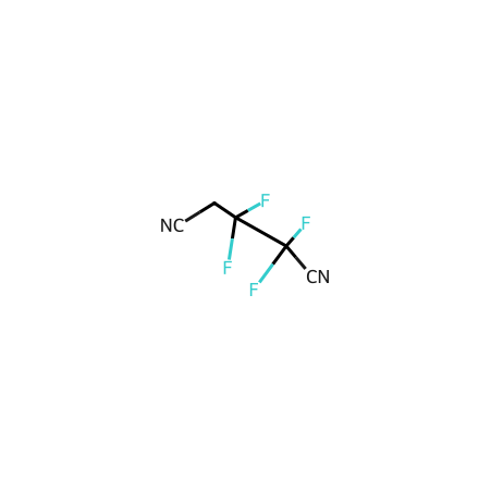 N#CCC(F)(F)C(F)(F)C#N